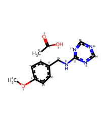 CC(=O)O.COc1ccc(CNc2ncncn2)cc1